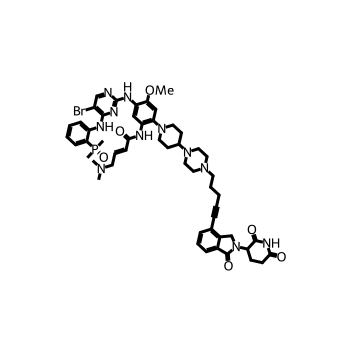 COc1cc(N2CCC(N3CCN(CCCC#Cc4cccc5c4CN(C4CCC(=O)NC4=O)C5=O)CC3)CC2)c(NC(=O)C=CCN(C)C)cc1Nc1ncc(Br)c(Nc2ccccc2P(C)(C)=O)n1